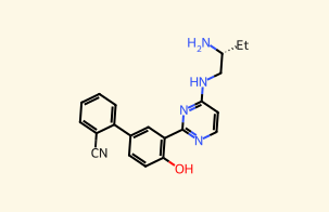 CC[C@@H](N)CNc1ccnc(-c2cc(-c3ccccc3C#N)ccc2O)n1